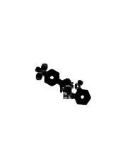 COc1ccccc1Nc1nc(-c2ccc(S(C)(=O)=O)cc2)cs1